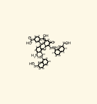 Nc1ccc2c(-c3cc(C(=O)O)ccc3C(=O)O)c3ccc(=O)c(CNc4cccc5ccc(CO)nc45)c-3oc2c1CNc1cccc2ccc(CO)nc12